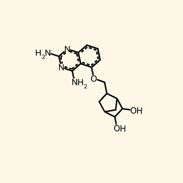 Nc1nc(N)c2c(OCC3CC4CC3C(O)C4O)cccc2n1